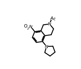 CC(=O)N1CCc2c(N3CCCC3)ccc([N+](=O)[O-])c2C1